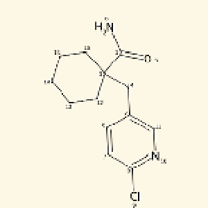 NC(=O)C1([CH]c2ccc(Cl)nc2)CCCCC1